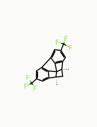 C[C@@]12C[C@]3(C)c4cc(C(F)(F)F)cc5c4C13c1c-5cc(C(F)(F)F)cc12